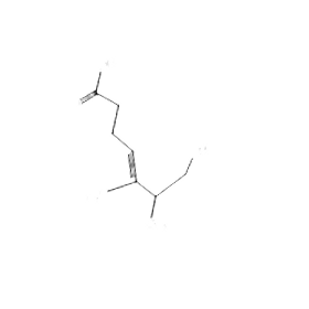 CCC(C)C(C)=CCCC(=O)O